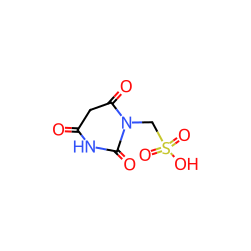 O=C1CC(=O)N(CS(=O)(=O)O)C(=O)N1